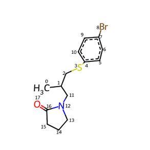 CC(CSc1ccc(Br)cc1)CN1CCCC1=O